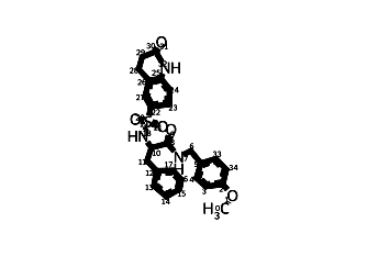 COc1ccc(CNC(=O)C(Cc2ccccc2)NS(=O)(=O)c2ccc3c(c2)CCC(=O)N3)cc1